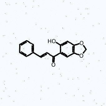 O=C(C=Cc1ccccc1)c1cc2c(cc1O)OCO2